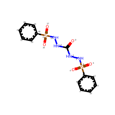 O=C(NNS(=O)(=O)c1ccccc1)NNS(=O)(=O)c1ccccc1